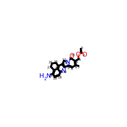 CC(=O)OCc1c(C)cc2n(c1=O)Cc1c-2nc2ccc(N)c3c2c1CCC3